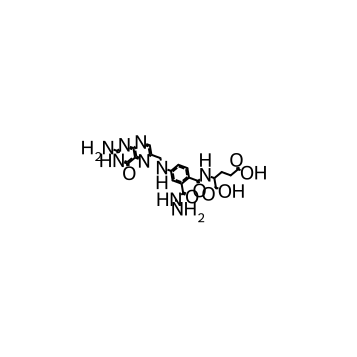 NNC(=O)c1cc(NCc2cnc3nc(N)[nH]c(=O)c3n2)ccc1C(=O)NC(CCC(=O)O)C(=O)O